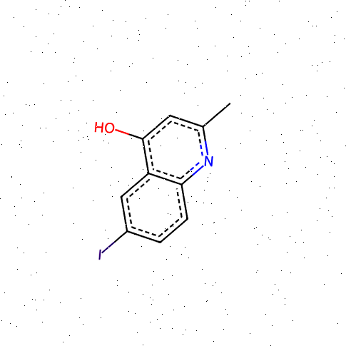 Cc1cc(O)c2cc(I)ccc2n1